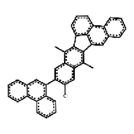 Cc1c2c(c(C)c3cc(-c4cc5ccccc5c5ccccc45)c(Cl)cc13)-c1cccc3c1c-2cc1ccccc13